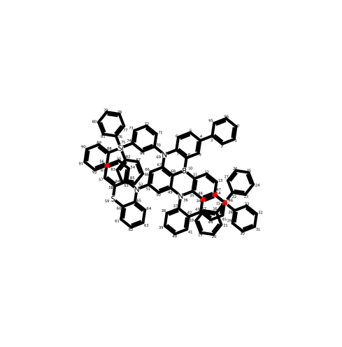 c1ccc(-c2ccc3c(c2)B2c4ccc([Si](c5ccccc5)(c5ccccc5)c5ccccc5)cc4N(c4ccccc4-c4ccccc4)c4cc(N5c6ccccc6Sc6ccccc65)cc(c42)N3c2cccc([Si](c3ccccc3)(c3ccccc3)c3ccccc3)c2)cc1